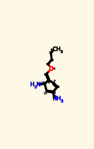 CCCCOC=C1C=CC(N)=CC1N